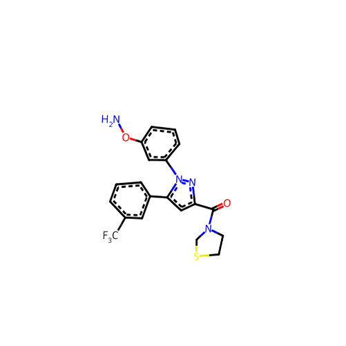 NOc1cccc(-n2nc(C(=O)N3CCSC3)cc2-c2cccc(C(F)(F)F)c2)c1